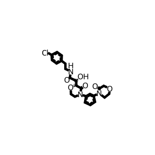 O=C(NCCc1ccc(Cl)cc1)[C@H](O)[C@H]1OCCN(c2cccc(N3CCOCC3=O)c2)C1=O